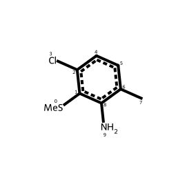 CSc1c(Cl)ccc(C)c1N